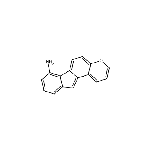 Nc1cccc2cc3c4cccoc4ccc3c12